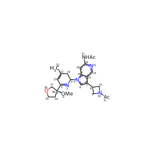 CO[C@@]1(C2=NC(n3cc(C4CN(C(C)=O)C4)c4cnc(NC(C)=O)cc43)CC(C)=C2)CCOC1